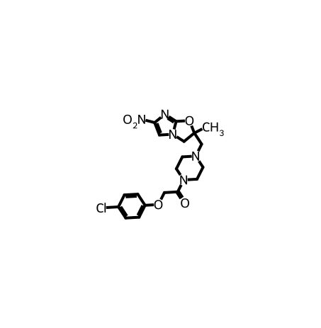 CC1(CN2CCN(C(=O)COc3ccc(Cl)cc3)CC2)Cn2cc([N+](=O)[O-])nc2O1